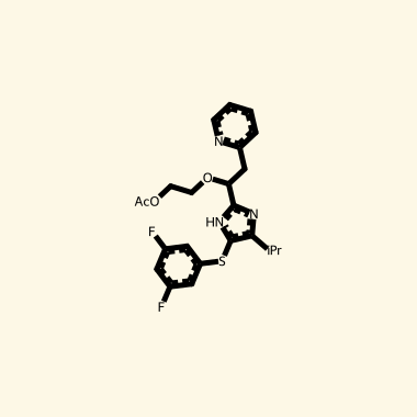 CC(=O)OCCOC(Cc1ccccn1)c1nc(C(C)C)c(Sc2cc(F)cc(F)c2)[nH]1